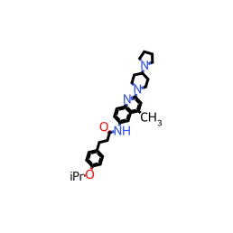 Cc1cc(N2CCC(N3CCCC3)CC2)nc2ccc(NC(=O)CCc3ccc(OC(C)C)cc3)cc12